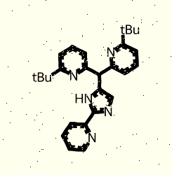 CC(C)(C)c1cccc(C(c2cccc(C(C)(C)C)n2)c2cnc(-c3ccccn3)[nH]2)n1